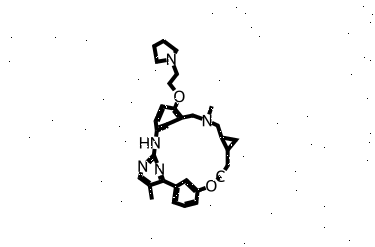 Cc1cnc2nc1-c1cccc(c1)OCCC1CC1CN(C)Cc1cc(ccc1OCCN1CCCC1)N2